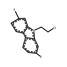 Fc1ccc2c3ccc(F)cc3n(CCCl)c2c1